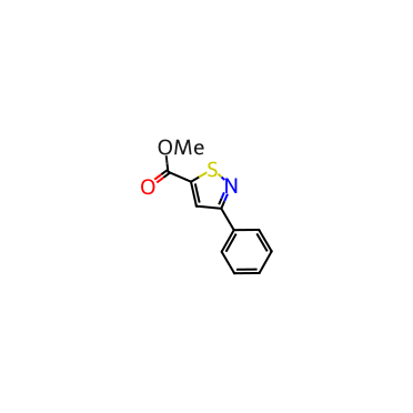 COC(=O)c1cc(-c2ccccc2)ns1